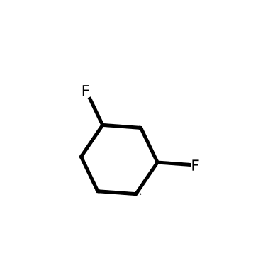 FC1[CH]CCC(F)C1